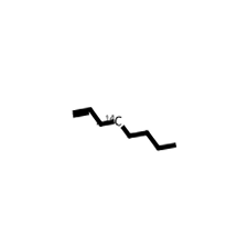 C=C[CH][14CH2]CCCC